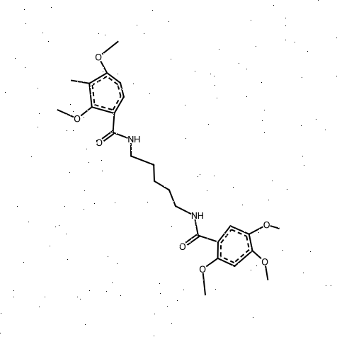 COc1cc(OC)c(C(=O)NCCCCCNC(=O)c2ccc(OC)c(C)c2OC)cc1OC